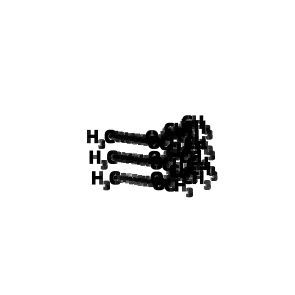 CCCCCCCCCCCCCCCC(=O)OCC=C(C)CCC=C(C)CCC=C(C)CCC=C(C)C.CCCCCCCCCCCCCCCC(=O)OCC=C(C)CCC=C(C)CCC=C(C)CCC=C(C)C.CCCCCCCCCCCCCCCC(=O)OCC=C(C)CCC=C(C)CCC=C(C)CCC=C(C)C